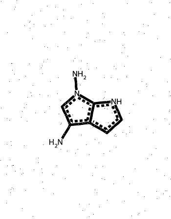 Nc1cn(N)c2[nH]ccc12